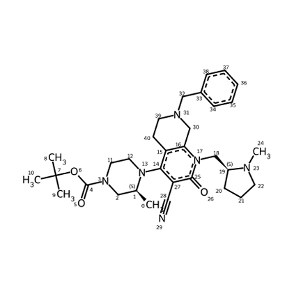 C[C@H]1CN(C(=O)OC(C)(C)C)CCN1c1c2c(n(C[C@@H]3CCCN3C)c(=O)c1C#N)CN(Cc1ccccc1)CC2